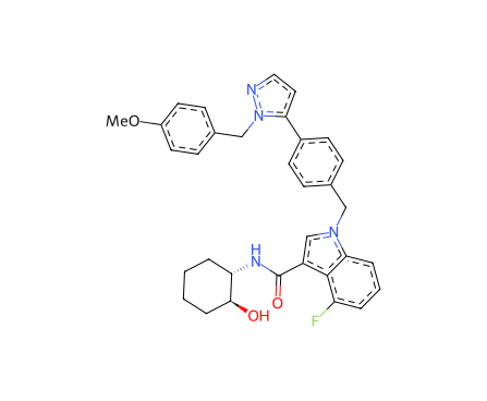 COc1ccc(Cn2nccc2-c2ccc(Cn3cc(C(=O)N[C@H]4CCCC[C@@H]4O)c4c(F)cccc43)cc2)cc1